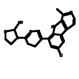 Cc1nccc2c1[nH]c1c(C3=CN=C(N4CCOC4O)CC3)cc(Cl)cc12